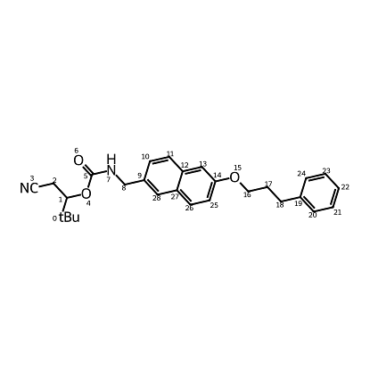 CC(C)(C)C(CC#N)OC(=O)NCc1ccc2cc(OCCCc3ccccc3)ccc2c1